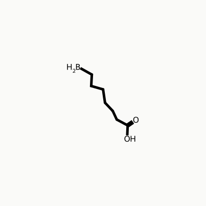 BCCCCCCC(=O)O